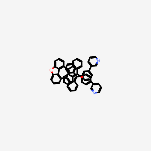 c1ccc(-c2c3ccccc3c(-c3cccc4oc5cccc(-c6c7ccccc7c(-c7cc(-c8cccnc8)cc(-c8cccnc8)c7)c7ccccc67)c5c34)c3ccccc23)cc1